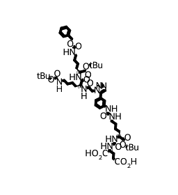 CC(C)(C)OC(=O)NCCCC[C@H](NC(=O)Cn1nncc1-c1cccc(NC(=O)NCCCC[C@H](NC(=O)N[C@@H](CCC(=O)O)C(=O)O)C(=O)OC(C)(C)C)c1)C(=O)N[C@@H](CCCCNC(=O)OCc1ccccc1)C(=O)OC(C)(C)C